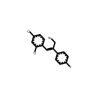 Fc1ccc(/C(=C/c2ccc(Cl)cc2Cl)CBr)cc1